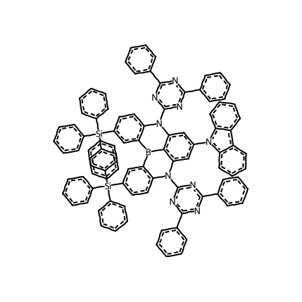 c1ccc(-c2nc(-c3ccccc3)nc(N3c4ccc([Si](c5ccccc5)(c5ccccc5)c5ccccc5)cc4B4c5cc([Si](c6ccccc6)(c6ccccc6)c6ccccc6)ccc5N(c5nc(-c6ccccc6)nc(-c6ccccc6)n5)c5cc(-n6c7ccccc7c7ccccc76)cc3c54)n2)cc1